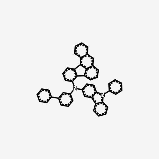 c1ccc(-c2cccc(N(c3ccc4c(c3)c3ccccc3n4-c3ccccc3)c3cccc4c3-c3cccc5cc6ccccc6c-4c35)c2)cc1